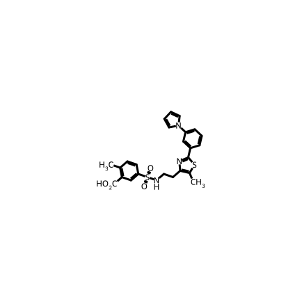 Cc1ccc(S(=O)(=O)NCCc2nc(-c3cccc(-n4cccc4)c3)sc2C)cc1C(=O)O